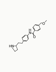 COCc1ccc(C(=O)Nc2ccc(CCC3CCCN3)cc2)cc1